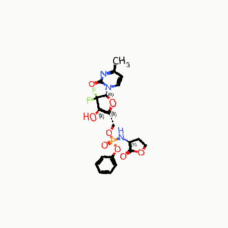 Cc1ccn([C@@H]2O[C@H](COP(=O)(N[C@H]3CCOC3=O)Oc3ccccc3)[C@@H](O)C2(F)F)c(=O)n1